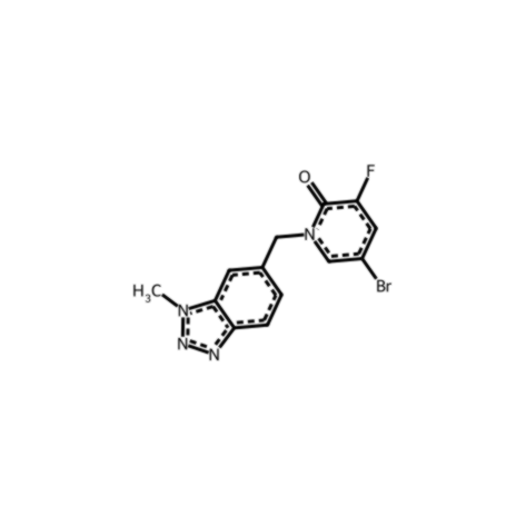 Cn1nnc2ccc(Cn3cc(Br)cc(F)c3=O)cc21